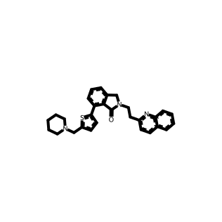 O=C1c2c(cccc2-c2ccc(CN3CCCCC3)s2)CN1CCc1ccc2ccccc2n1